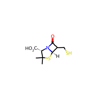 CC1(C)S[C@@H]2C(CS)C(=O)N2[C@H]1C(=O)O